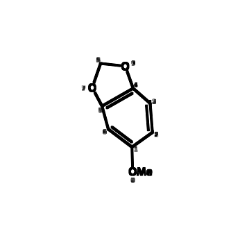 COc1c[c]c2c(c1)OCO2